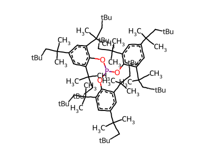 CC(C)(C)CC(C)(C)c1cc(C(C)(C)CC(C)(C)C)c(OP(Oc2c(C(C)(C)CC(C)(C)C)cc(C(C)(C)CC(C)(C)C)cc2C(C)(C)CC(C)(C)C)Oc2c(C(C)(C)CC(C)(C)C)cc(C(C)(C)CC(C)(C)C)cc2C(C)(C)CC(C)(C)C)c(C(C)(C)CC(C)(C)C)c1